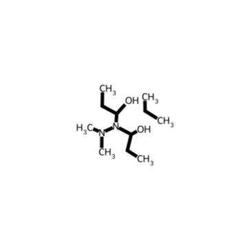 CCC.CCC(O)N(C(O)CC)N(C)C